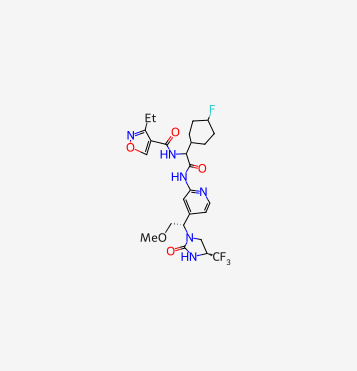 CCc1nocc1C(=O)NC(C(=O)Nc1cc([C@@H](COC)N2C[C@@H](C(F)(F)F)NC2=O)ccn1)C1CCC(F)CC1